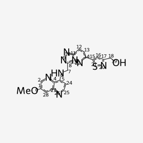 COc1cnc2c(NCc3nnc4ccc(-c5cc(CO)ns5)nn34)ccnc2c1